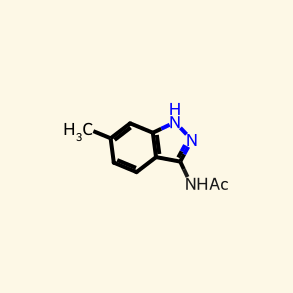 CC(=O)Nc1n[nH]c2cc(C)ccc12